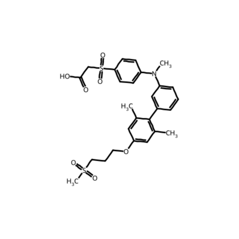 Cc1cc(OCCCS(C)(=O)=O)cc(C)c1-c1cccc(N(C)c2ccc(S(=O)(=O)CC(=O)O)cc2)c1